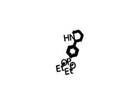 CCOP(OCC)c1ccc(C2CCCCN2)cc1